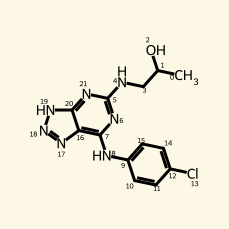 CC(O)CNc1nc(Nc2ccc(Cl)cc2)c2nn[nH]c2n1